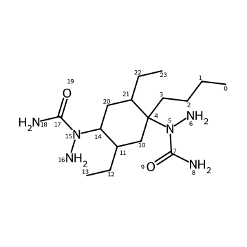 CCCCC1(N(N)C(N)=O)CC(CC)C(N(N)C(N)=O)CC1CC